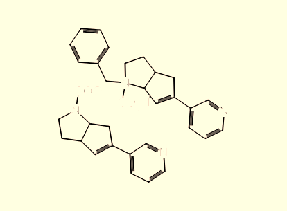 O=C(O)[N+]1(Cc2ccccc2)CCC2CC(c3cccnc3)=CC21.O=C([O-])N1CCC2C=C(c3cccnc3)CC21